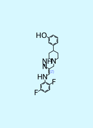 N=N/C(=C\Nc1cc(F)ccc1F)CN1CCC(c2cccc(O)c2)CC1